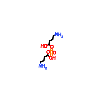 NCCCC(O)O[PH](=O)OC(O)CCCN